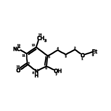 CCOCCCc1c(O)[nH]c(=O)c(C#N)c1C